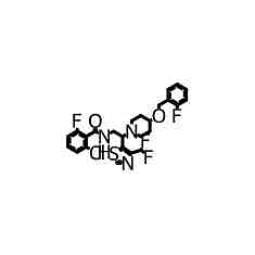 O=C(NCC(c1scnc1C(F)F)N1CCC(OCc2ccccc2F)CC1)c1c(F)cccc1Cl